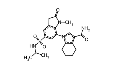 CC(C)NS(=O)(=O)c1cc2c(c(-n3cc(C(N)=O)c4c3CCCC4)c1)N(C)C(=O)C2